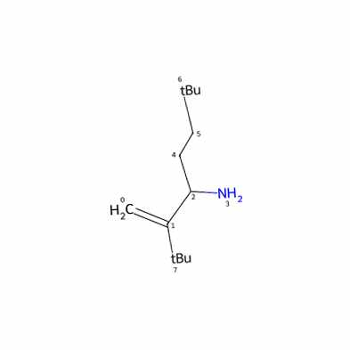 C=C(C(N)CCC(C)(C)C)C(C)(C)C